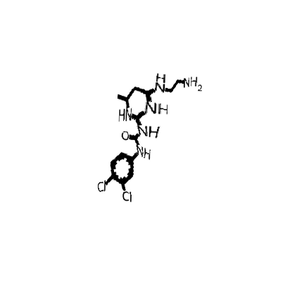 CC1CC(NCCN)NC(NC(=O)Nc2ccc(Cl)c(Cl)c2)N1